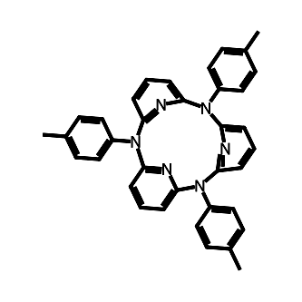 Cc1ccc(N2c3cccc(n3)N(c3ccc(C)cc3)c3cccc(n3)N(c3ccc(C)cc3)c3cccc2n3)cc1